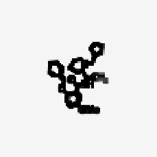 COc1ccc(OCc2ccccc2)c(C(=O)NC(C)C2CCCCN2CC2CCCC2)c1